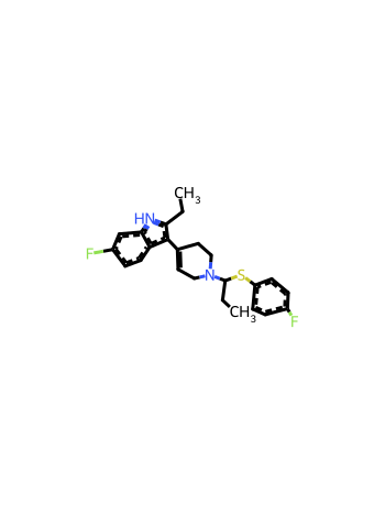 CCc1[nH]c2cc(F)ccc2c1C1=CCN(C(CC)Sc2ccc(F)cc2)CC1